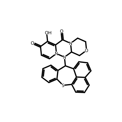 O=C1c2c(O)c(=O)ccn2N(C2c3ccccc3Sc3cccc4cccc2c34)C2COCCN12